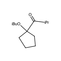 CC(C)COC1(C(=O)C(C)C)CCCC1